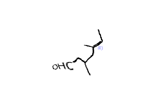 C/C=C(\C)CC(C)CC=O